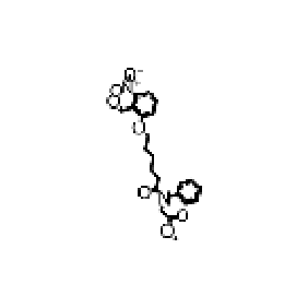 COC(=O)CN(C(=O)CCCCCOc1cccc([N+](=O)[O-])c1C=O)c1ccccc1